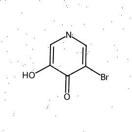 O=C1C(O)=C[N]C=C1Br